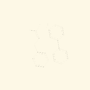 CC(=CCc1ccccc1)C(=O)O.c1ccc(-c2ccccc2)cc1